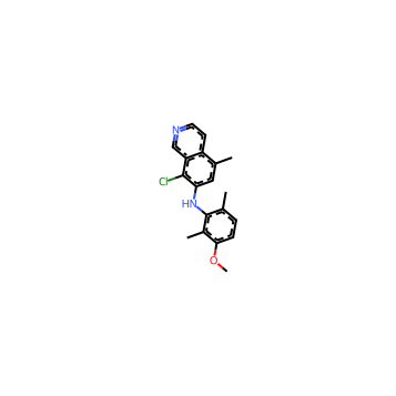 COc1ccc(C)c(Nc2cc(C)c3ccncc3c2Cl)c1C